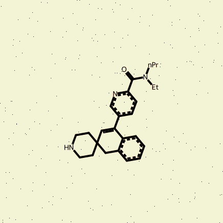 CCCN(CC)C(=O)c1ccc(C2=CC3(CCNCC3)Cc3ccccc32)cn1